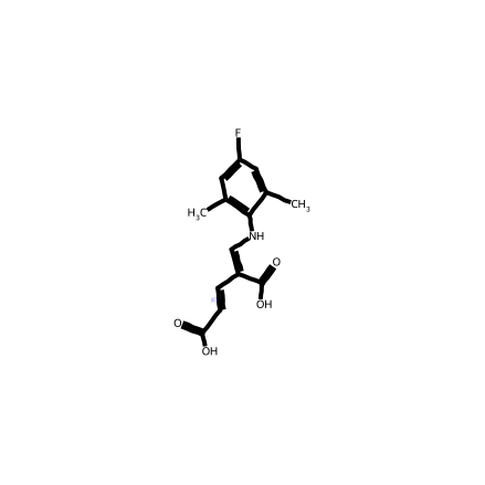 Cc1cc(F)cc(C)c1NC=C(/C=C/C(=O)O)C(=O)O